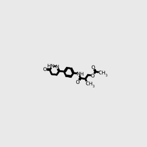 CC(=O)OCC(C)C(=O)Nc1ccc(C2=NNC(=O)CC2)cc1